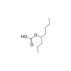 CCCCC(CCC)OC(=O)O